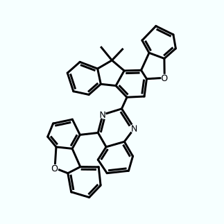 CC1(C)c2ccccc2-c2c(-c3nc(-c4cccc5oc6ccccc6c45)c4ccccc4n3)cc3oc4ccccc4c3c21